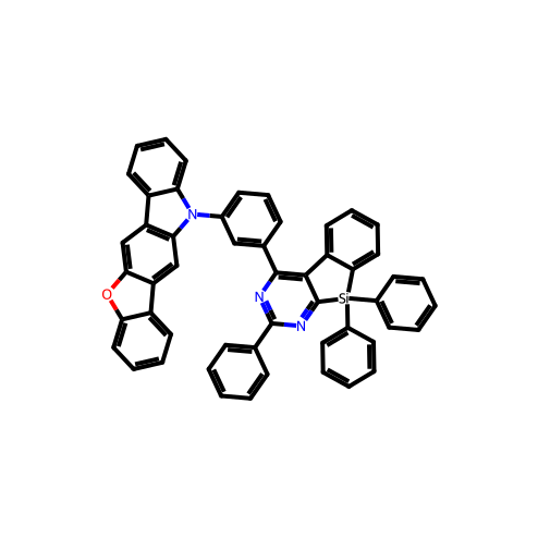 c1ccc(-c2nc(-c3cccc(-n4c5ccccc5c5cc6oc7ccccc7c6cc54)c3)c3c(n2)[Si](c2ccccc2)(c2ccccc2)c2ccccc2-3)cc1